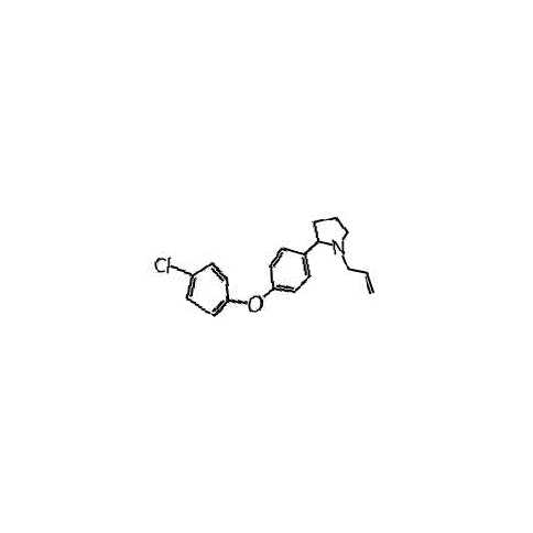 C=CCN1CCCC1c1ccc(Oc2ccc(Cl)cc2)cc1